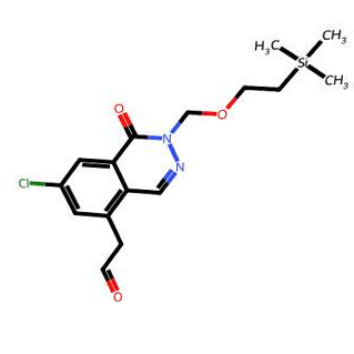 C[Si](C)(C)CCOCn1ncc2c(CC=O)cc(Cl)cc2c1=O